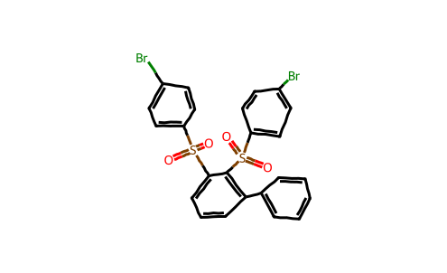 O=S(=O)(c1ccc(Br)cc1)c1cccc(-c2ccccc2)c1S(=O)(=O)c1ccc(Br)cc1